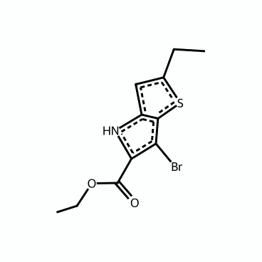 CCOC(=O)c1[nH]c2cc(CC)sc2c1Br